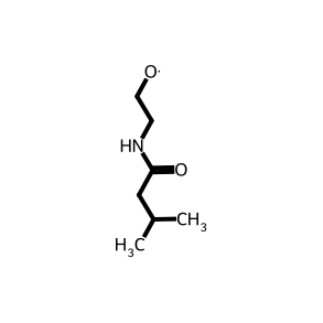 CC(C)CC(=O)NCC[O]